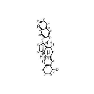 C[C@]12CCC3=CC4=C(CCCC4=O)O[C@H]3[C@@H]1CC[C@@H]2c1ccc2cccnc2c1